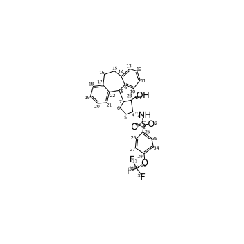 O=S(=O)(N[C@@H]1CCC(C2c3ccccc3CCc3ccccc32)[C@H]1O)c1ccc(OC(F)(F)F)cc1